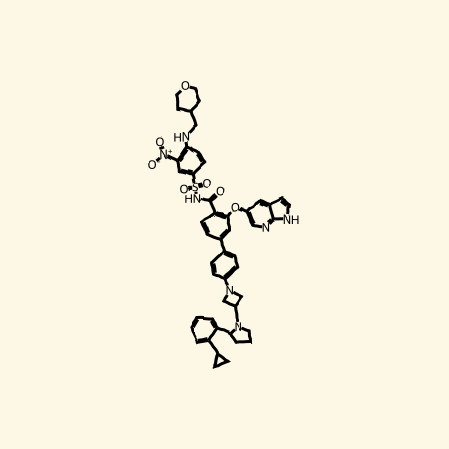 O=C(NS(=O)(=O)c1ccc(NCC2CCOCC2)c([N+](=O)[O-])c1)c1ccc(-c2ccc(N3CC(N4CCCC4c4ccccc4C4CC4)C3)cc2)cc1Oc1cnc2[nH]ccc2c1